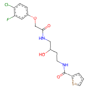 O=C(COc1ccc(Cl)c(F)c1)NCC(O)CCNC(=O)c1cccs1